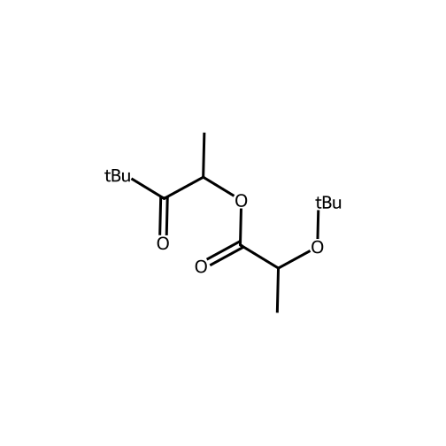 CC(OC(C)(C)C)C(=O)OC(C)C(=O)C(C)(C)C